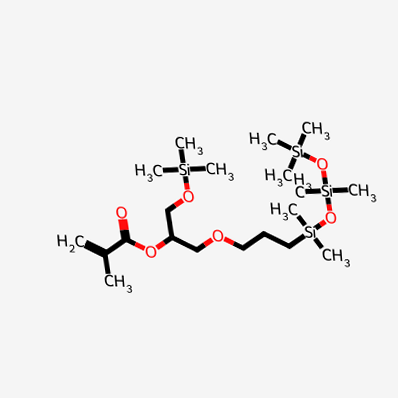 C=C(C)C(=O)OC(COCCC[Si](C)(C)O[Si](C)(C)O[Si](C)(C)C)CO[Si](C)(C)C